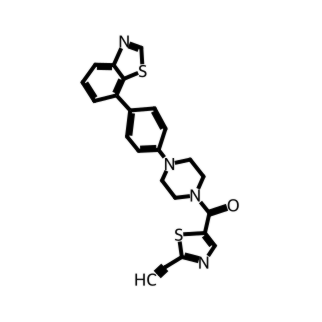 C#Cc1ncc(C(=O)N2CCN(c3ccc(-c4cccc5ncsc45)cc3)CC2)s1